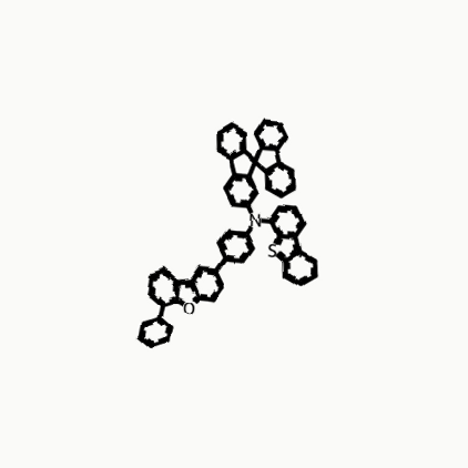 c1ccc(-c2cccc3c2oc2ccc(-c4ccc(N(c5ccc6c(c5)C5(c7ccccc7-c7ccccc75)c5ccccc5-6)c5cccc6c5sc5ccccc56)cc4)cc23)cc1